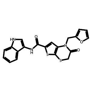 O=C(Nc1c[nH]c2ccccc12)c1cc2c(s1)SCC(=O)N2Cc1ccco1